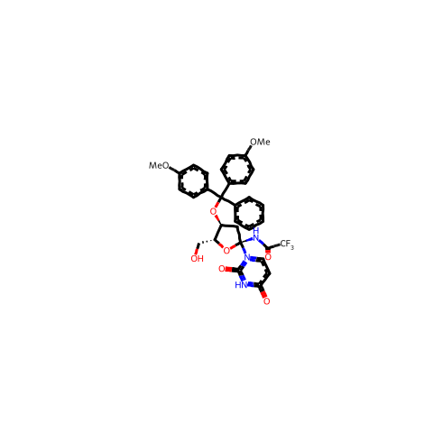 COc1ccc(C(O[C@H]2C[C@](NC(=O)C(F)(F)F)(n3ccc(=O)[nH]c3=O)O[C@@H]2CO)(c2ccccc2)c2ccc(OC)cc2)cc1